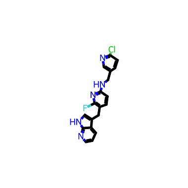 Fc1nc(NCc2ccc(Cl)nc2)ccc1Cc1c[nH]c2ncccc12